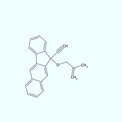 C#CC1(OCC(=C)C)c2ccccc2-c2cc3ccccc3cc21